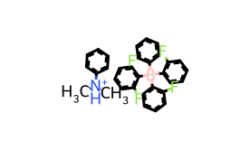 C[NH+](C)c1ccccc1.Fc1ccccc1[B-](c1ccccc1F)(c1ccccc1F)c1ccccc1F